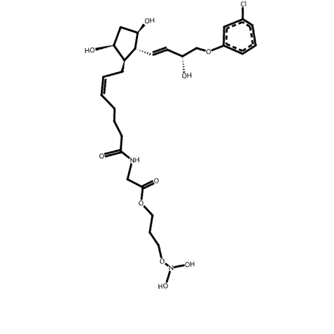 O=C(CCC/C=C\C[C@@H]1[C@@H](/C=C/[C@@H](O)COc2cccc(Cl)c2)[C@H](O)C[C@@H]1O)NCC(=O)OCCCON(O)O